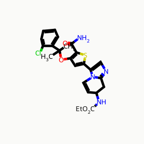 CCOC(=O)NC1C=Cn2c(-c3cc(OC(C)(C)c4ccccc4Cl)c(C(N)=O)s3)cnc2C1